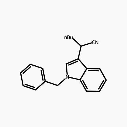 CCCCC(C#N)c1cn(Cc2ccccc2)c2ccccc12